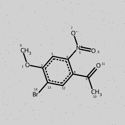 COc1cc([N+](=O)[O-])c(C(C)=O)cc1Br